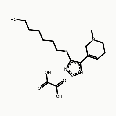 CN1CCC=C(c2nsnc2SCCCCCCO)C1.O=C(O)C(=O)O